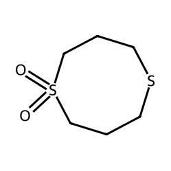 O=S1(=O)CCCSCCC1